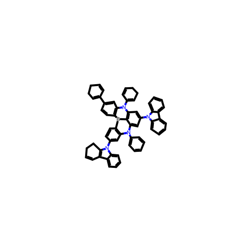 C1=CC(c2ccc3c(c2)N(C2=CCCC=C2)c2cc(-n4c5ccccc5c5ccccc54)cc4c2B3c2ccc(-n3c5c(c6ccccc63)C=CCC5)cc2N4c2ccccc2)=CCC1